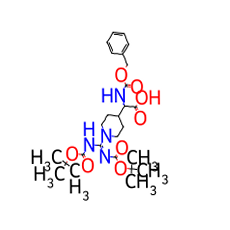 CC(C)(C)OC(=O)/N=C(/NC(=O)OC(C)(C)C)N1CCC([C@@H](NC(=O)OCc2ccccc2)C(=O)O)CC1